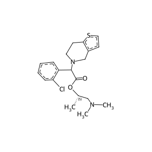 C[C@@H](CN(C)C)OC(=O)C(c1ccccc1Cl)N1CCc2sccc2C1